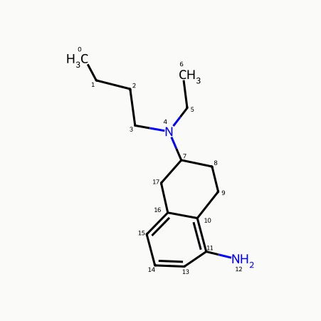 CCCCN(CC)C1CCc2c(N)cccc2C1